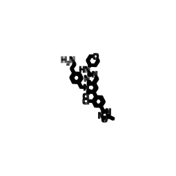 Cc1nc(-c2ccc(-c3cc4cnc(NC5CCOCC5)nc4n(Cc4ccc(CCN)cc4)c3=O)c(Cl)c2)no1